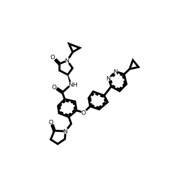 O=C(N[C@H]1CC(=O)N(C2CC2)C1)c1ccc(CN2CCCC2=O)c(Oc2ccc(-c3ccc(C4CC4)nn3)cc2)c1